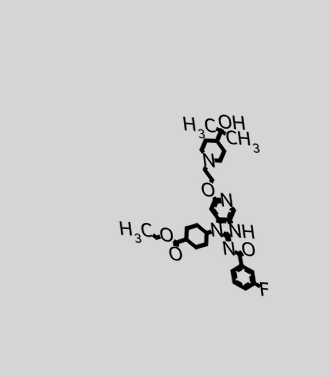 CCOC(=O)C1CCC(n2/c(=N/C(=O)c3cccc(F)c3)[nH]c3cnc(OCCN4CCC(C(C)(C)O)CC4)cc32)CC1